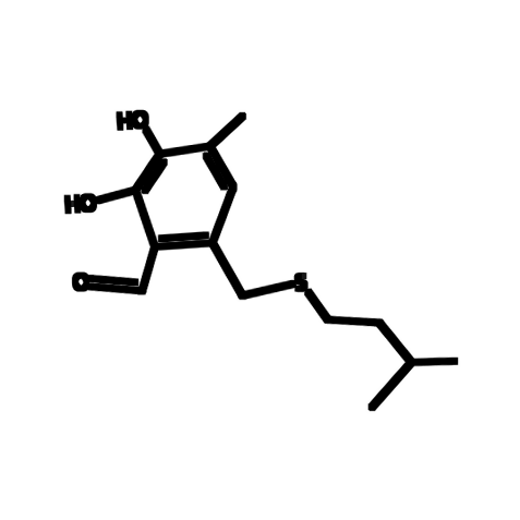 Cc1cc(CSCCC(C)C)c(C=O)c(O)c1O